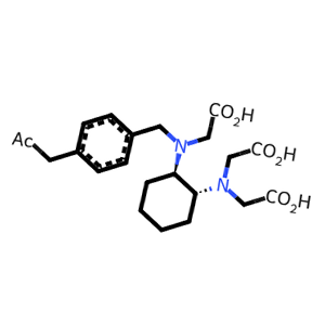 CC(=O)Cc1ccc(CN(CC(=O)O)[C@@H]2CCCC[C@H]2N(CC(=O)O)CC(=O)O)cc1